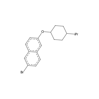 CC(C)C1CCC(Oc2ccc3cc(Br)ccc3c2)CC1